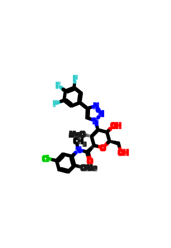 COc1ccc(Cl)cc1N(C)C(=O)[C@@H]1O[C@H](CO)[C@H](O)[C@H](n2cc(-c3cc(F)c(F)c(F)c3)nn2)[C@H]1OC